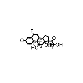 CC12CC(O)[C@@]3(F)C(C[C@H](F)C4=CC(=O)C=CC43C)C1CCC2(O)C(=O)CO